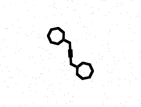 C(#CCN1CCCCCC1)CN1CCCCCC1